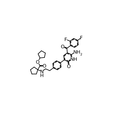 Nc1[nH]c(=O)c(-c2ccc(CCNC3(C(=O)OC4CCCC4)CCCC3)cc2)cc1C(=O)c1ccc(F)cc1F